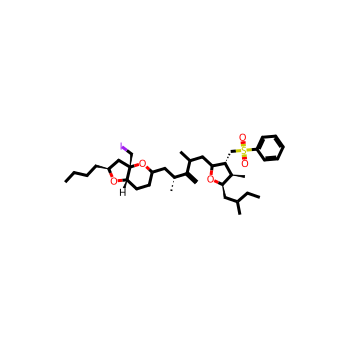 C=C(C(C)CC1O[C@H](CC(C)CC)[C@H](C)[C@H]1CS(=O)(=O)c1ccccc1)[C@H](C)CC1CC[C@@H]2O[C@@H](CCCC)C[C@]2(CI)O1